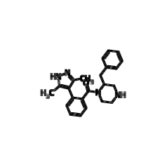 Cc1n[nH]c(C)c1-c1ccccc1C(=O)N1CCNCC1Cc1ccccc1